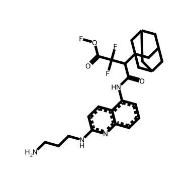 NCCCNc1ccc2c(NC(=O)C(C34CC5CC(CC(C5)C3)C4)C(F)(F)C(=O)OF)cccc2n1